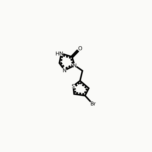 O=c1[nH]cnn1Cc1cc(Br)cs1